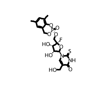 Cc1cc(C)c2c(c1)COP(=O)(OC[C@@]1(F)O[C@@H](n3cc(CO)c(=O)[nH]c3=S)[C@H](O)[C@@H]1O)O2